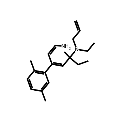 C=CCN(CC)C(C)(/C=C(\C=C/N)c1cc(C)ccc1C)CC